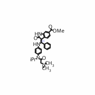 COC(=O)c1ccc2c(c1)NC(=O)/C2=C(\Nc1ccc(N(C(=O)CN(C)C)C(C)C)cc1)c1ccccc1